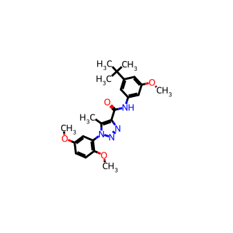 COc1cc(NC(=O)c2nnn(-c3cc(OC)ccc3OC)c2C)cc(C(C)(C)C)c1